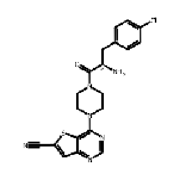 N#Cc1cc2ncnc(N3CCN(C(=O)[C@H](N)Cc4ccc(Cl)cc4)CC3)c2s1